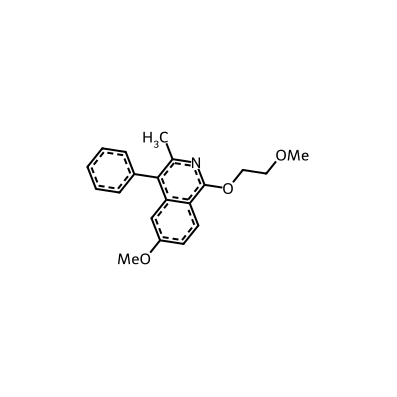 COCCOc1nc(C)c(-c2ccccc2)c2cc(OC)ccc12